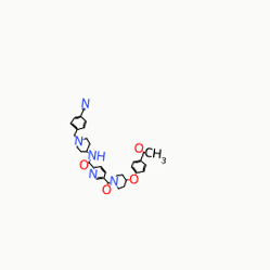 CC(=O)c1ccc(OC2CCN(C(=O)c3ccc(C(=O)NC4CCN(Cc5ccc(C#N)cc5)CC4)nc3)CC2)cc1